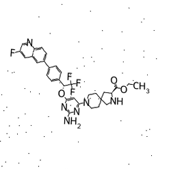 CCOC(=O)[C@@H]1CC2(CCN(c3cc(O[C@H](c4ccc(-c5ccc6ncc(F)cc6c5)cc4)C(F)(F)F)nc(N)n3)CC2)CN1